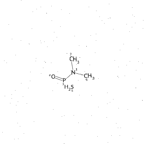 CN(C)P=O.S